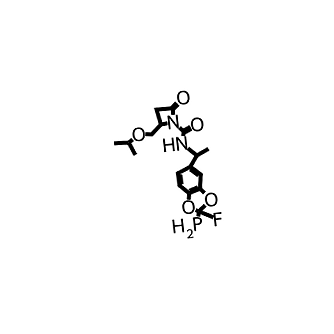 CC(C)OCC1CC(=O)N1C(=O)NC(C)c1ccc2c(c1)OC(F)(P)O2